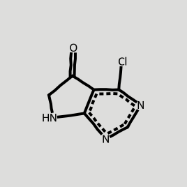 O=C1CNc2ncnc(Cl)c21